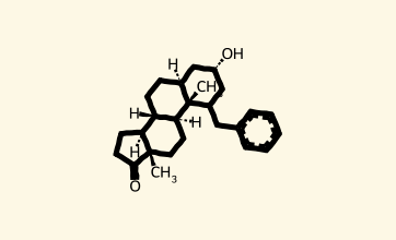 C[C@]12C(Cc3ccccc3)C[C@@H](O)C[C@@H]1CC[C@@H]1[C@@H]2CC[C@]2(C)C(=O)CC[C@@H]12